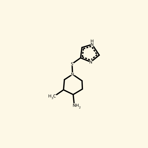 CC1CN(Sc2c[nH]cn2)CCC1N